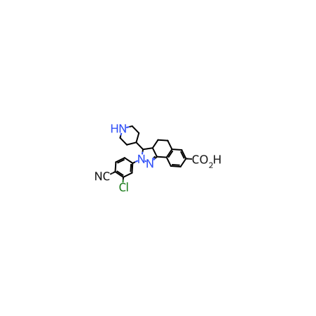 N#Cc1ccc(N2N=C3c4ccc(C(=O)O)cc4CCC3C2C2CCNCC2)cc1Cl